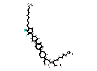 CCCCCCCCCc1ccc(-c2ccc(-c3ccc(C4=CCC(C(CC)CCC(CC)CCCCCCC)CC4)c(F)c3)cc2)c(F)c1F